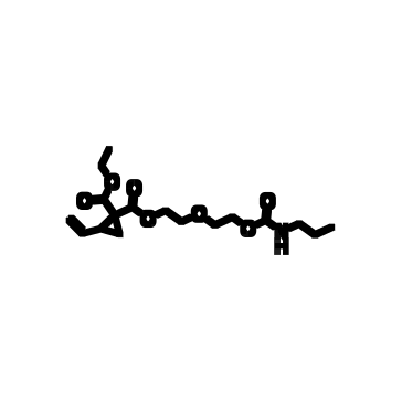 C=CC1CC1(C(=O)OCC)C(=O)OCCOCCOC(=O)NCCC